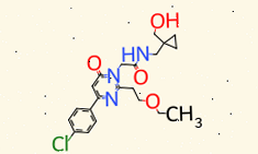 CCOCCc1nc(-c2ccc(Cl)cc2)cc(=O)n1CC(=O)NCC1(CO)CC1